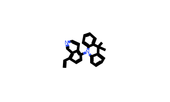 C=Cc1ccc(N2c3ccccc3C(C)(C)c3ccccc32)c2ccncc12